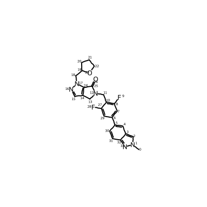 Cn1cc2cc(-c3cc(F)c(CN4Cc5cnn(CC6CCCO6)c5C4=O)c(F)c3)ccc2n1